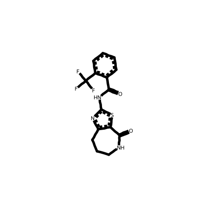 O=C(Nc1nc2c(s1)C(=O)NCCC2)c1ccccc1C(F)(F)F